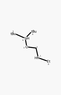 CCNCO[SiH](C(C)(C)C)C(C)(C)C